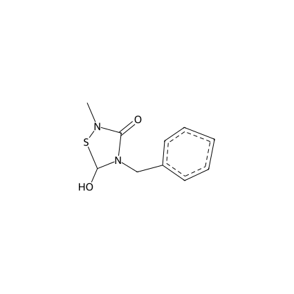 CN1SC(O)N(Cc2ccccc2)C1=O